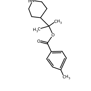 Cc1ccc(C(=O)OC(C)(C)C2CCNCC2)cc1